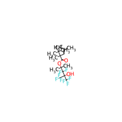 CC(C)=CC(C)(C(=O)OC(C)(C)C(F)(F)C(O)(C(F)(F)F)C(F)(F)F)C(C)(C)C